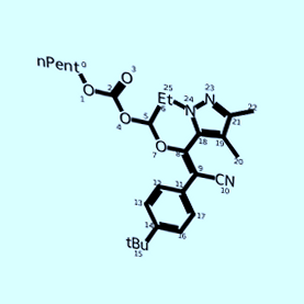 CCCCCOC(=O)OC(C)O/C(=C(/C#N)c1ccc(C(C)(C)C)cc1)c1c(C)c(C)nn1CC